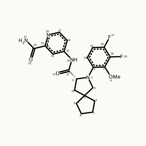 COc1c(N2CC3(CCCC3)C[C@@H]2C(=O)Nc2ccnc(C(N)=O)c2)ccc(F)c1F